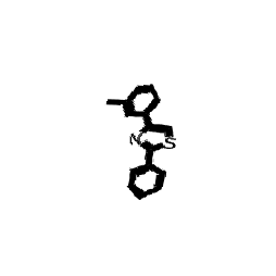 Cc1cccc(-c2csc(-c3ccccc3)n2)c1